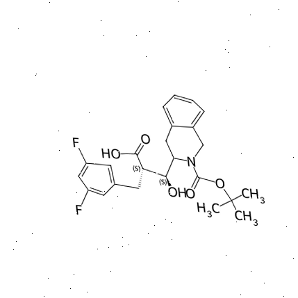 CC(C)(C)OC(=O)N1Cc2ccccc2CC1[C@@H](O)[C@H](Cc1cc(F)cc(F)c1)C(=O)O